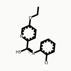 CCOc1ccc(/C(S)=N\c2ccccc2Cl)nc1